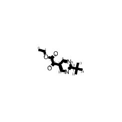 CCOC(=O)C(=O)c1cnc(C(C)(C)C)nc1